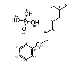 CC(C)CCCC[CH2][Ca][c]1ccccc1.O=P(O)(O)O